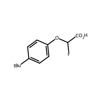 CC(C)(C)c1ccc(OC(F)C(=O)O)cc1